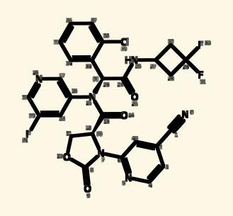 N#Cc1ccnc(N2C(=O)OC[C@H]2C(=O)N(c2cncc(F)c2)[C@H](C(=O)NC2CC(F)(F)C2)c2ccccc2Cl)c1